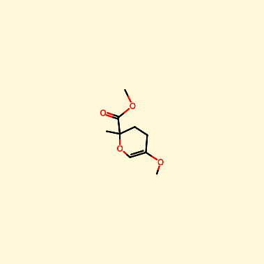 COC(=O)C1(C)CCC(OC)=CO1